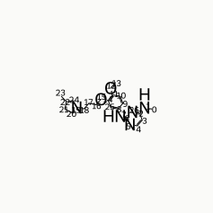 CNc1ccnc(Nc2ccc(OC)c(OCCCN3CCC(C)C3)c2)n1